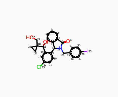 O=C1c2ccccc2C(c2ccc(Cl)cc2C(O)C2(CO)CC2)N1Cc1ccc(I)cc1